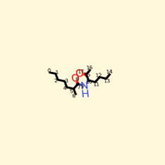 CCCCCC(C)C(=O)NC(CCCC)C(C)=O